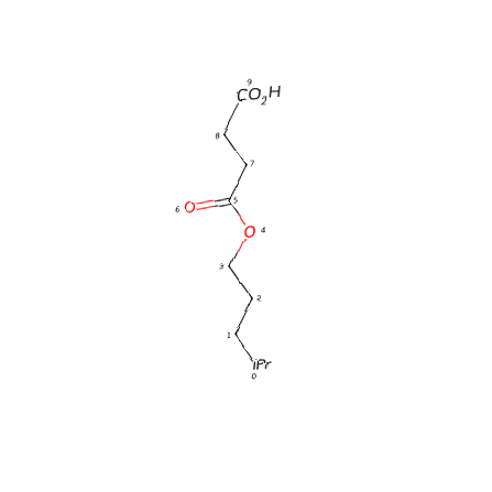 CC(C)CCCOC(=O)CCC(=O)O